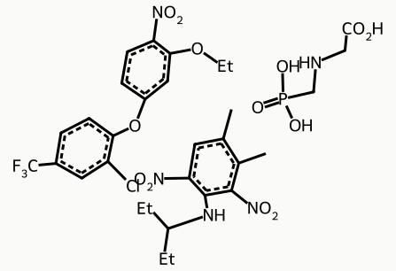 CCC(CC)Nc1c([N+](=O)[O-])cc(C)c(C)c1[N+](=O)[O-].CCOc1cc(Oc2ccc(C(F)(F)F)cc2Cl)ccc1[N+](=O)[O-].O=C(O)CNCP(=O)(O)O